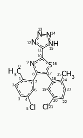 Cc1ccc(Cl)cc1-c1nc(-c2nnn[nH]2)sc1-c1cc(Cl)ccc1C